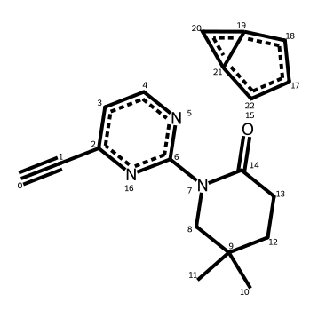 C#Cc1ccnc(N2CC(C)(C)CCC2=O)n1.c1cc2cc-2c1